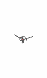 CCCCCCCCCCOC(=O)C1C2CC(C3CC=CC32)C1C(=O)OCCCCCCCCCC